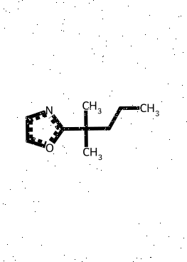 CCCC(C)(C)c1ncco1